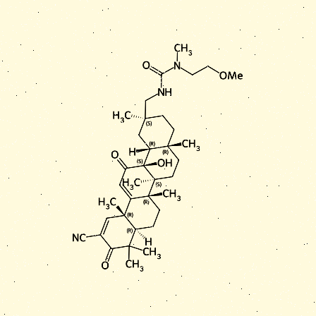 COCCN(C)C(=O)NC[C@@]1(C)CC[C@]2(C)CC[C@@]3(C)[C@]4(C)CC[C@H]5C(C)(C)C(=O)C(C#N)=C[C@]5(C)C4=CC(=O)[C@]3(O)[C@@H]2C1